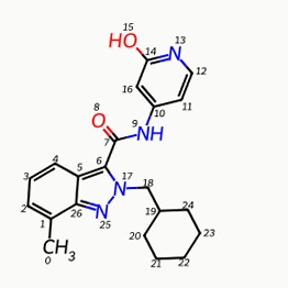 Cc1cccc2c(C(=O)Nc3ccnc(O)c3)n(CC3CCCCC3)nc12